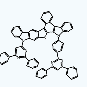 c1ccc(-c2cc(-c3ccccc3)nc(-c3ccc(-n4c5ccccc5c5c6ccccc6c6c7cc8c9ccccc9n(-c9cc(-c%10ccccc%10)nc(-c%10ccccc%10)n9)c8cc7sc6c54)cc3)n2)cc1